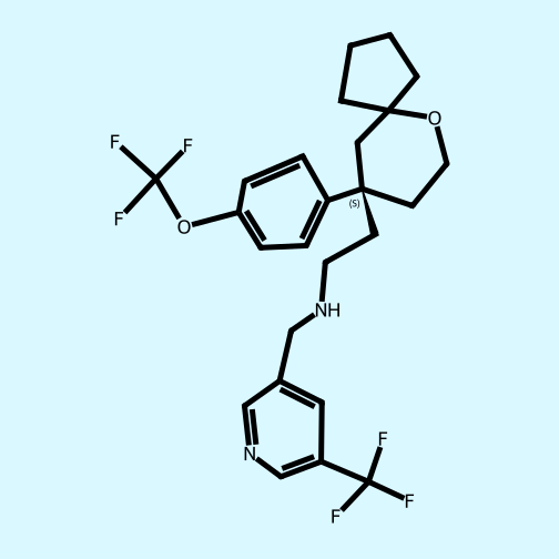 FC(F)(F)Oc1ccc([C@@]2(CCNCc3cncc(C(F)(F)F)c3)CCOC3(CCCC3)C2)cc1